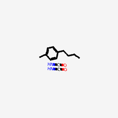 CCCCc1ccc(C)cc1.N=C=O.N=C=O